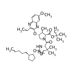 C=CCCC[C@@H]1CCC[C@H]1OC(=O)N[C@H](C(=O)N1C[C@H](Oc2nc3cc(OC)ccc3nc2C=C)[C@@H](C)[C@H]1C(=O)OC(C)(C)C)C(C)(C)C